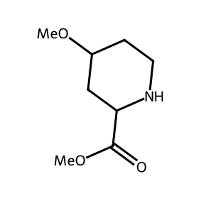 COC(=O)C1CC(OC)CCN1